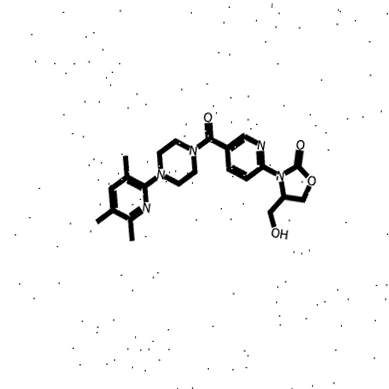 Cc1cc(C)c(N2CCN(C(=O)c3ccc(N4C(=O)OCC4CO)nc3)CC2)nc1C